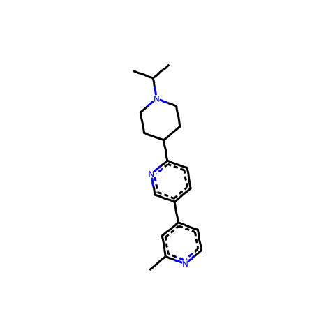 Cc1cc(-c2ccc(C3CCN(C(C)C)CC3)nc2)ccn1